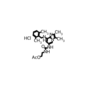 CC(=O)OCCNC(=O)Nc1cc(NCc2c(C)cccc2C)c2nc(C)c(C)n2c1.Cl